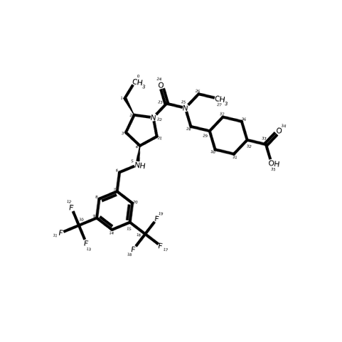 CC[C@@H]1C[C@H](NCc2cc(C(F)(F)F)cc(C(F)(F)F)c2)CN1C(=O)N(CC)CC1CCC(C(=O)O)CC1